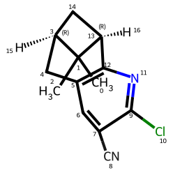 CC1(C)[C@H]2Cc3cc(C#N)c(Cl)nc3[C@@H]1C2